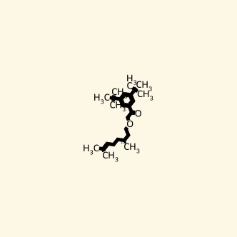 CC(C)=CCC[C@H](C)CCOCC(=O)c1cc(C(C)(C)C)cc(C(C)(C)C)c1